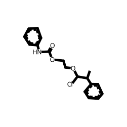 CC(c1ccccc1)C(Cl)OCCOC(=O)Nc1ccccc1